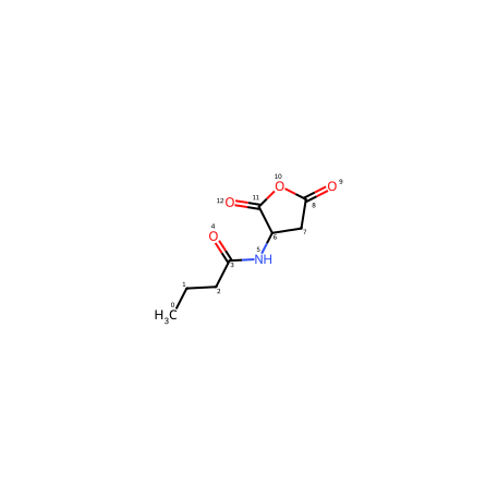 CCCC(=O)NC1CC(=O)OC1=O